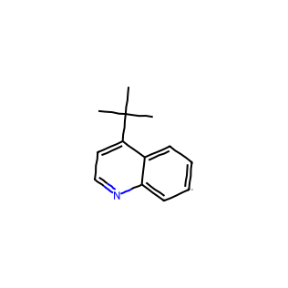 CC(C)(C)c1ccnc2c[c]ccc12